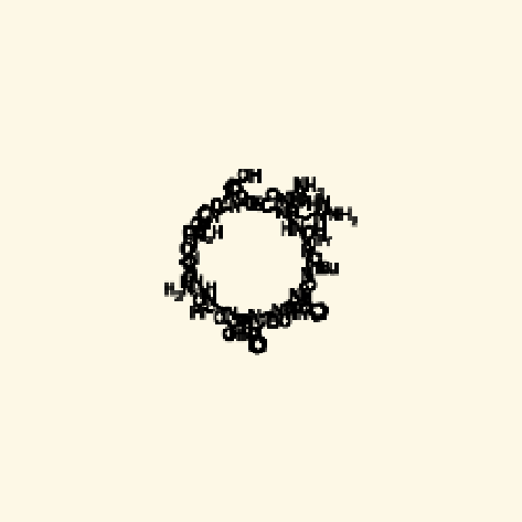 CCCC[C@H]1C(=O)N(C)[C@@H](CCC)C(=O)N[C@@H](CCCNC(=N)N)C(=O)N[C@H](C(=O)NCC(N)=O)CSCC(=O)N[C@@H](Cc2ccc(O)cc2)C(=O)N2CCCC[C@H]2C(=O)N[C@@H](CC(=O)O)C(=O)N2CCC[C@H]2C(=O)N[C@@H](CN)C(=O)N[C@@H](CC(C)C)C(=O)N2C[C@H](O)C[C@H]2C(=O)N[C@@H](Cc2c[nH]c3ccccc23)C(=O)N[C@@H](CO)C(=O)N[C@@H](Cc2c[nH]c3ccccc23)C(=O)N1C